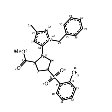 COC(=O)C1CC(S(=O)(=O)c2ccccc2C(F)(F)F)CN1c1cc(C)nn1Cc1ccccc1